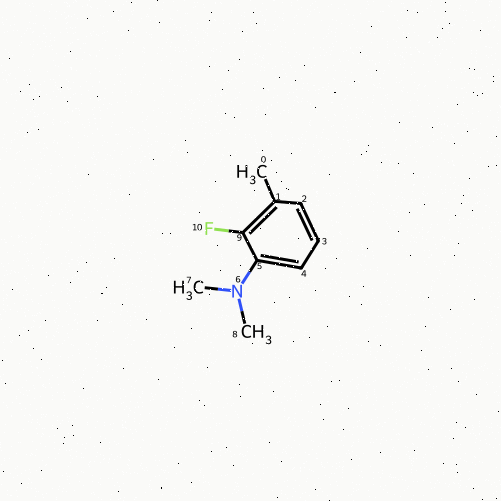 Cc1cccc(N(C)C)c1F